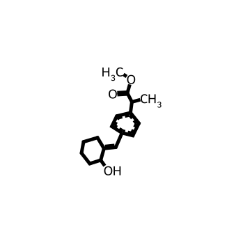 COC(=O)C(C)c1ccc(C=C2CCCCC2O)cc1